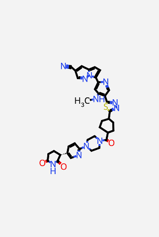 CNc1cc(-c2ccc3cc(C#N)cnn23)ncc1-c1nnc(C2CCC(C(=O)N3CCN(c4ccc([C@H]5CCC(=O)NC5=O)cn4)CC3)CC2)s1